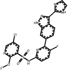 COc1ncc(Cl)cc1S(=O)(=O)Nc1ccc(F)c(-c2ccc3c(-c4ncc[nH]4)n[nH]c3c2)n1